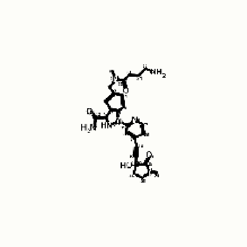 CN(Cc1ccc2c(c1)C(C(N)=O)NN2c1cc(C#C[C@]2(O)CCN(C)C2=O)ccn1)C(=O)CCCN